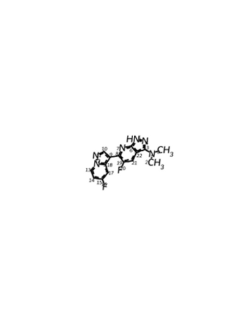 CN(C)c1n[nH]c2nc(-c3cnn4ccc(F)cc34)c(F)cc12